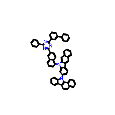 c1ccc(-c2cccc(-c3nc(-c4ccccc4)nc(-c4ccc5c(-n6c7cc(-n8c9ccccc9c9ccc%10ccccc%10c98)ccc7c7cc8ccccc8cc76)cccc5c4)n3)c2)cc1